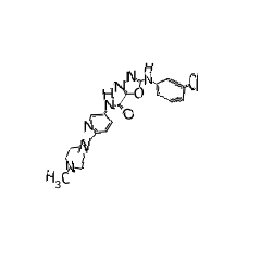 CN1CCN(c2ccc(NC(=O)c3nnc(Nc4cccc(Cl)c4)o3)cn2)CC1